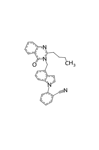 CCCCc1nc2ccccc2c(=O)n1Cc1cccc2c1ccn2-c1ccccc1C#N